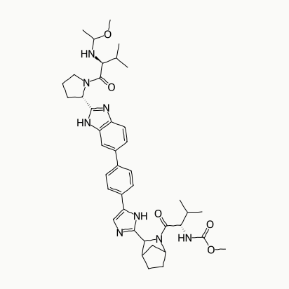 COC(=O)N[C@H](C(=O)N1C2CCC(C2)C1c1ncc(-c2ccc(-c3ccc4nc([C@@H]5CCCN5C(=O)[C@@H](NC(C)OC)C(C)C)[nH]c4c3)cc2)[nH]1)C(C)C